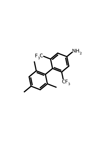 Cc1cc(C)c(-c2c(C(F)(F)F)cc(N)cc2C(F)(F)F)c(C)c1